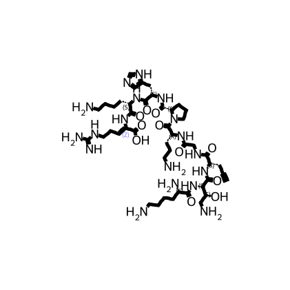 C#CC[C@H](NC(=O)[C@@H](NC(=O)[C@@H](N)CCCCN)[C@@H](O)CN)C(=O)NCC(=O)N[C@H](CCCN)C(=O)N1CCC[C@H]1C(=O)N[C@@H](Cc1cnc[nH]1)C(=O)N[C@@H](CCCCN)C(=O)N/C(=C\CCNC(=N)N)C(=O)O